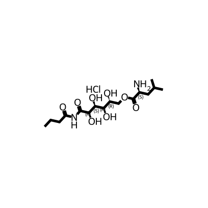 CCCC(=O)NC(=O)[C@H](O)[C@@H](O)[C@H](O)[C@H](O)COC(=O)[C@@H](N)CC(C)C.Cl